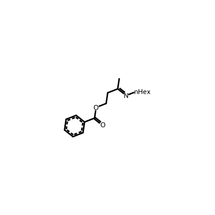 CCCCCCN=C(C)CCOC(=O)c1ccccc1